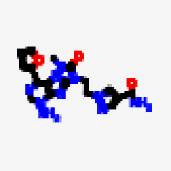 Cn1c(=O)n(CCn2cc(C(N)=O)cn2)c2nc3c(n21)C(c1ccco1)=NCN3N